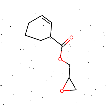 O=C(OCC1CO1)C1C=CCCC1